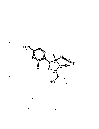 C[C@]1(N=[N+]=[N-])C(n2ccc(N)nc2=O)O[C@H](CO)[C@H]1O